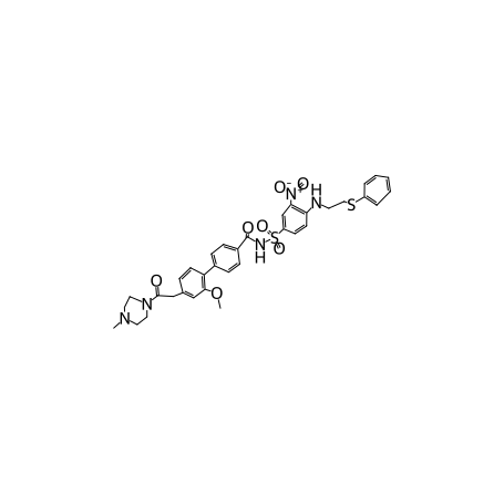 COc1cc(CC(=O)N2CCN(C)CC2)ccc1-c1ccc(C(=O)NS(=O)(=O)c2ccc(NCCSc3ccccc3)c([N+](=O)[O-])c2)cc1